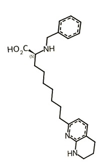 O=C(O)[C@H](CCCCCCCc1ccc2c(n1)NCCC2)NCc1ccccc1